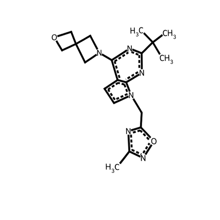 Cc1noc(Cn2ccc3c(N4CC5(COC5)C4)nc(C(C)(C)C)nc32)n1